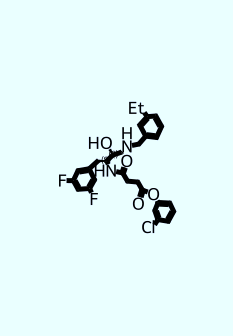 CCc1cccc(CNC[C@H](O)[C@H](Cc2cc(F)cc(F)c2)NC(=O)CCC(=O)Oc2cccc(Cl)c2)c1